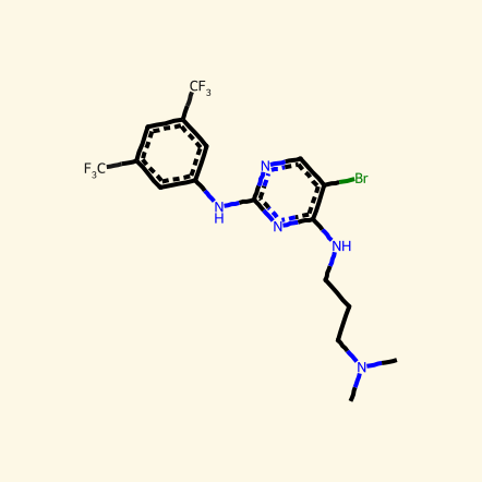 CN(C)CCCNc1nc(Nc2cc(C(F)(F)F)cc(C(F)(F)F)c2)ncc1Br